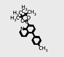 Cc1ccc(-c2ccc(B3OC(C)(C)C(C)(C)O3)c3ncccc23)cc1